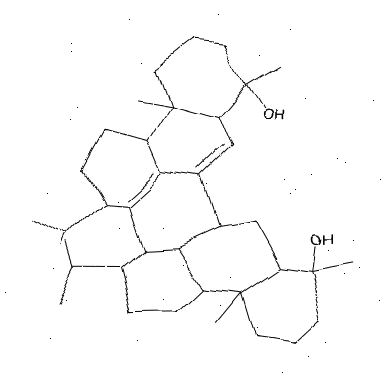 CC(C)C1CCC2C3=C1C1C(C(C)C)CCC4C1C(CC1C(C)(O)CCCC41C)C3=CC1C(C)(O)CCCC21C